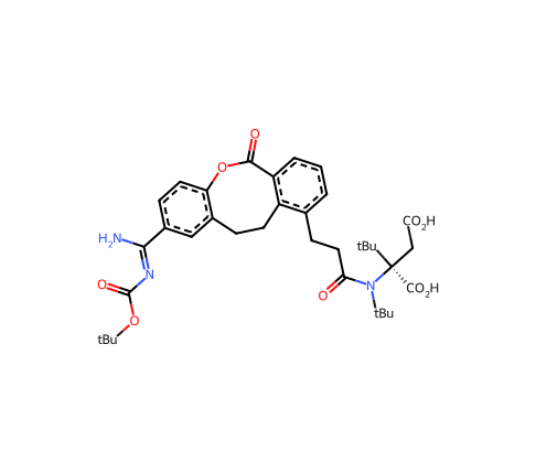 CC(C)(C)OC(=O)N=C(N)c1ccc2c(c1)CCc1c(CCC(=O)N(C(C)(C)C)[C@@](CC(=O)O)(C(=O)O)C(C)(C)C)cccc1C(=O)O2